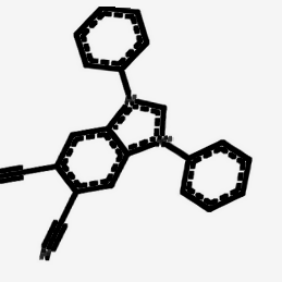 N#Cc1cc2c(cc1C#N)[n+](-c1ccccc1)cn2-c1ccccc1